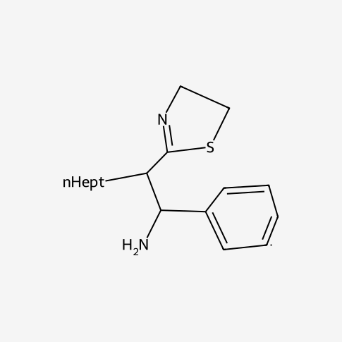 CCCCCCCC(C1=NCCS1)C(N)c1c[c]ccc1